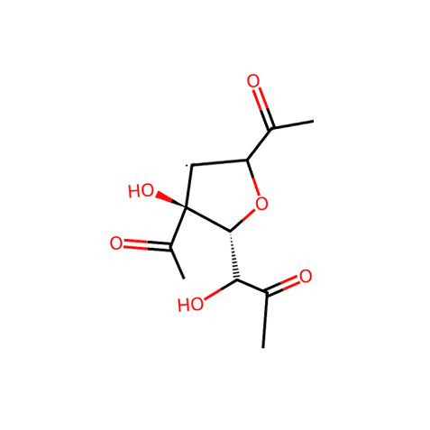 CC(=O)C1[CH][C@@](O)(C(C)=O)[C@@H](C(O)C(C)=O)O1